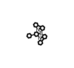 c1ccc(-c2cc3c4c(c2)-n2c5ccccc5c5cccc(c52)B4c2cccc4c5ccccc5n-3c24)cc1